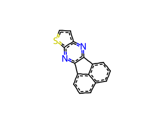 c1cc2c3c(cccc3c1)-c1nc3sccc3nc1-2